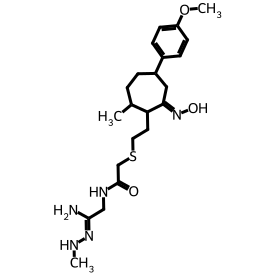 CN/N=C(\N)CNC(=O)CSCCC1/C(=N/O)CC(c2ccc(OC)cc2)CCC1C